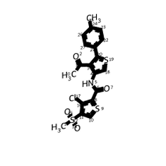 CC(=O)c1c(NC(=O)c2scc(S(C)(=O)=O)c2Cl)csc1-c1ccc(C)cc1